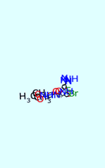 CC(C)(C)OC(=O)NCC1CCC(C(=O)N[C@@H](Cc2ccc(Br)c(F)c2)C(=O)Nc2ccc(-c3nn[nH]n3)cc2)CC1